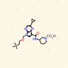 C[Si](C)(C)CCOCn1cc(C(=O)NC2CCCN(C(=O)O)C2)c2nc(C3CC3)cnc21